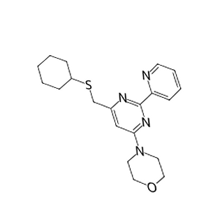 c1ccc(-c2nc(CSC3CCCCC3)cc(N3CCOCC3)n2)nc1